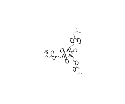 CC(C)CC(=O)OCCn1c(=O)n(CCOC(=O)CC(C)C)c(=O)n(CCOC(=O)CC(C)S)c1=O